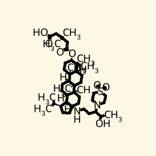 CC(O)C(CCN[C@]12CC[C@@H](C(C)C)[C@@H]1[C@H]1CC[C@@H]3[C@@]4(C)CC[C@H](OC(=O)CC(C)(C)CC(=O)O)C(C)(C)[C@@H]4CC[C@@]3(C)[C@]1(C)CC2)N1CCS(=O)(=O)CC1